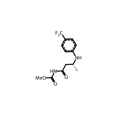 COC(=O)NC(=O)C[C@@H](C)Nc1ccc(C(F)(F)F)cc1